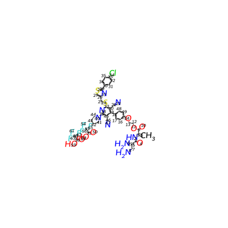 C[C@H](NC(=O)[C@@H](N)CN)C(=O)OCCOc1ccc(-c2c(C#N)c(SCc3csc(-c4ccc(Cl)cc4)n3)nc(N3CCCC3)c2C#N)cc1.O=C(O)C(F)(F)F.O=C(O)C(F)(F)F